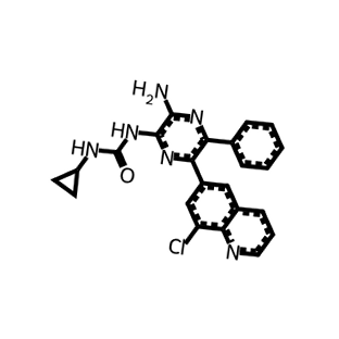 Nc1nc(-c2ccccc2)c(-c2cc(Cl)c3ncccc3c2)nc1NC(=O)NC1CC1